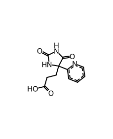 O=C(O)CCC1(c2ccccn2)NC(=O)NC1=O